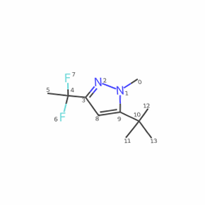 Cn1nc(C(C)(F)F)cc1C(C)(C)C